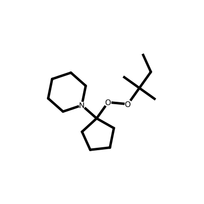 CCC(C)(C)OOC1(N2CCCCC2)CCCC1